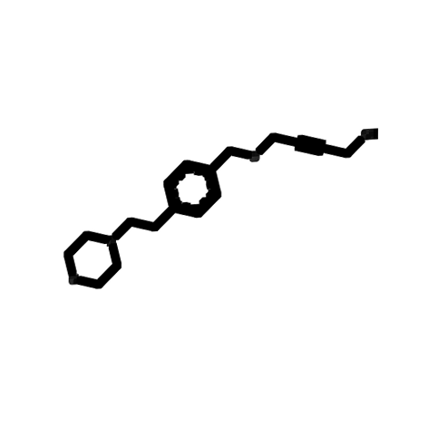 OCC#CCOCc1ccc(CCN2CCOCC2)cc1